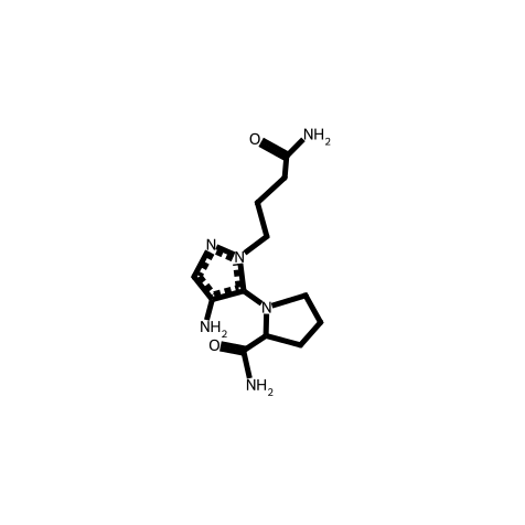 NC(=O)CCCn1ncc(N)c1N1CCCC1C(N)=O